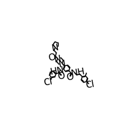 Cc1cc(Cl)ccc1CCNC(=O)c1ccc(N2CCN(C(=O)CCN3CCCC3)CC2)c(NC(=O)c2cccc(Cl)c2)c1